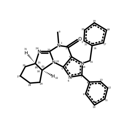 CN1C(=O)c2c(nc(-c3ccccc3)n2Cc2ccccc2)N2C1=N[C@@H]1CCCC[C@@H]12